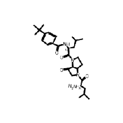 CC(C)C[C@H](NC(=O)c1ccc(C(C)(C)C)cc1)C(=O)N1CCC2C1C(=O)CN2C(=O)[C@@H](N)CC(C)C